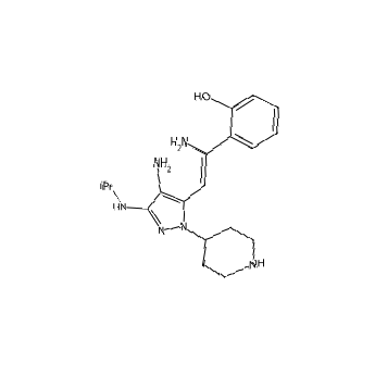 CC(C)Nc1nn(C2CCNCC2)c(/C=C(\N)c2ccccc2O)c1N